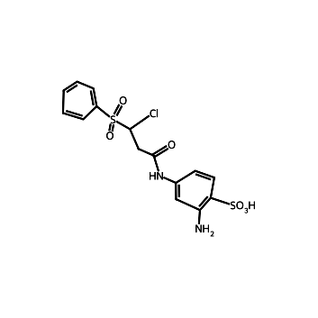 Nc1cc(NC(=O)CC(Cl)S(=O)(=O)c2ccccc2)ccc1S(=O)(=O)O